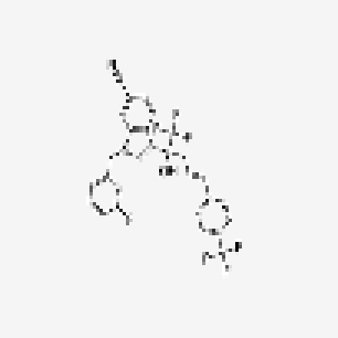 N#Cc1ccc2c(C(O)(CC=Cc3ccc(C(F)(F)F)cc3)C(F)(F)F)cn(Cc3cccc(F)c3)c2c1